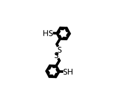 Sc1ccccc1CSSCc1ccccc1S